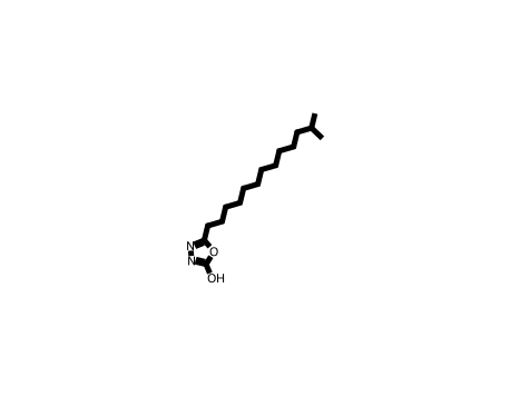 CC(C)CCCCCCCCCCCc1nnc(O)o1